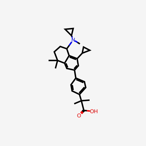 CN(C1CC1)C1CCC(C)(C)c2cc(-c3ccc(C(C)(C)C(=O)O)cc3)cc(C3CC3)c21